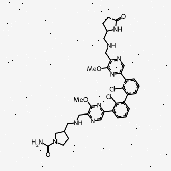 COc1nc(-c2cccc(-c3cccc(-c4cnc(CNCC5CCC(=O)N5)c(OC)n4)c3Cl)c2Cl)cnc1CNCC1CCN(C(N)=O)C1